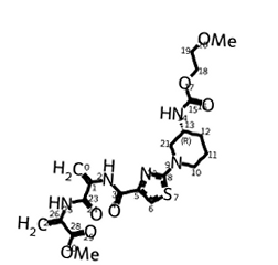 C=C(NC(=O)c1csc(N2CCC[C@@H](NC(=O)OCCOC)C2)n1)C(=O)NC(=C)C(=O)OC